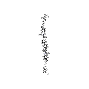 C=CC(=O)OCCCCOc1ccc(/C=C(\C#N)C(=O)Oc2ccc(-c3ccc(SC(=O)/C(C#N)=C/c4ccc(OCCCCOC(=O)C=C)cc4)cc3)cc2)cc1